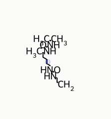 C=CCNC(=O)NC/C=C/CC(C)NC(=O)NC(C)C